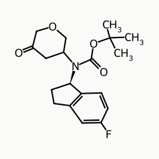 CC(C)(C)OC(=O)N(C1COCC(=O)C1)[C@@H]1CCc2cc(F)ccc21